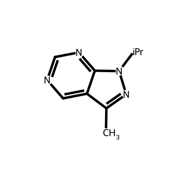 Cc1nn(C(C)C)c2ncncc12